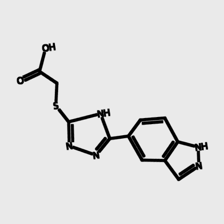 O=C(O)CSc1nnc(-c2ccc3[nH]ncc3c2)[nH]1